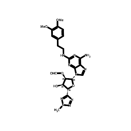 COc1ccc(CCNc2nc(N)c3ncn([C@@H]4O[C@H](c5nnn(C)n5)[C@@H](O)[C@H]4OC=O)c3n2)cc1OC